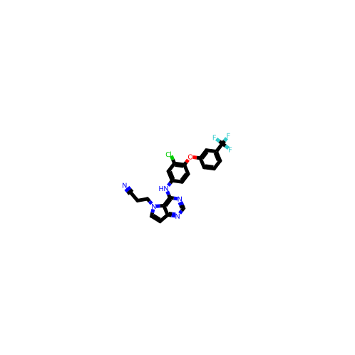 N#CCCn1ccc2ncnc(Nc3ccc(Oc4cccc(C(F)(F)F)c4)c(Cl)c3)c21